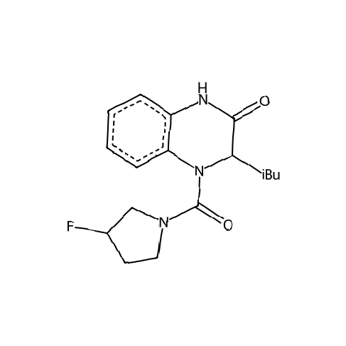 CCC(C)C1C(=O)Nc2ccccc2N1C(=O)N1CCC(F)C1